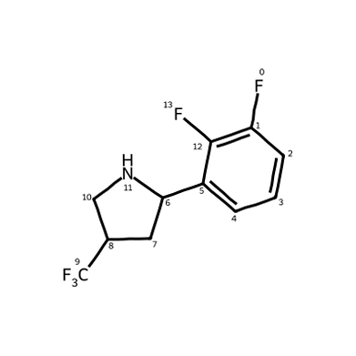 Fc1cccc(C2CC(C(F)(F)F)CN2)c1F